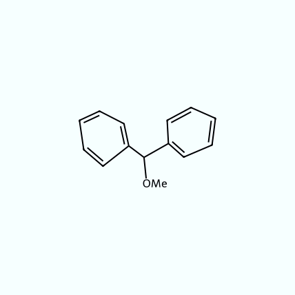 [1C]OC(c1ccccc1)c1ccccc1